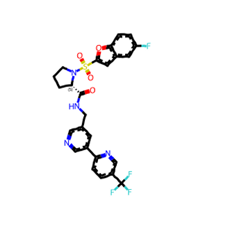 O=C(NCc1cncc(-c2ccc(C(F)(F)F)cn2)c1)[C@@H]1CCCN1S(=O)(=O)c1cc2cc(F)ccc2o1